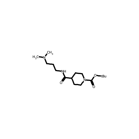 CN(C)CCCNC(=O)C1CCN(C(=O)OC(C)(C)C)CC1